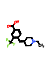 CCN1CCC(=Cc2ccc(C(=O)O)cc2C(F)(F)F)CC1